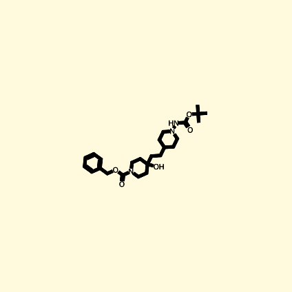 CC(C)(C)OC(=O)NN1CCC(CCC2(O)CCN(C(=O)OCc3ccccc3)CC2)CC1